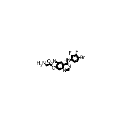 NCCOc1cc2ncnc(Nc3ccc(Br)c(F)c3F)c2cc1[N+](=O)[O-]